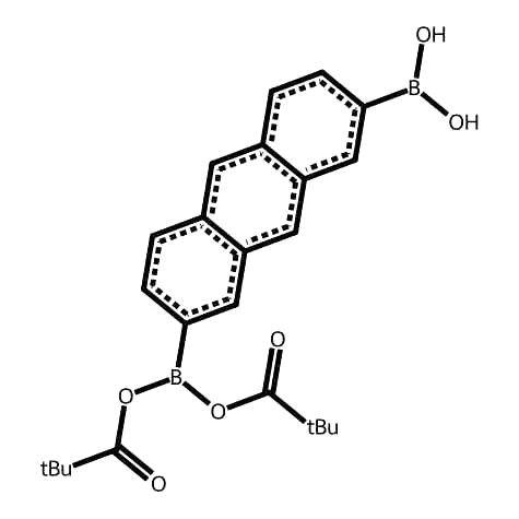 CC(C)(C)C(=O)OB(OC(=O)C(C)(C)C)c1ccc2cc3ccc(B(O)O)cc3cc2c1